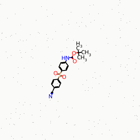 CC(C)(C)OC(=O)Nc1ccc(S(=O)(=O)c2ccc(C#N)cc2)cc1